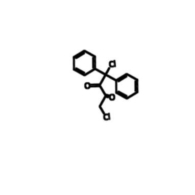 O=C(CCl)C(=O)C(Cl)(c1ccccc1)c1ccccc1